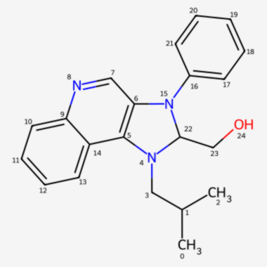 CC(C)CN1c2c(cnc3ccccc23)N(c2ccccc2)C1CO